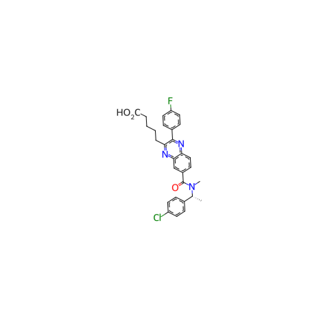 C[C@H](c1ccc(Cl)cc1)N(C)C(=O)c1ccc2nc(-c3ccc(F)cc3)c(CCCCC(=O)O)nc2c1